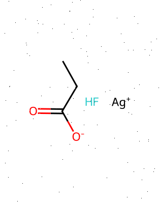 CCC(=O)[O-].F.[Ag+]